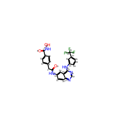 O=C(Cc1ccc(C(=O)NO)cc1)Nc1ccc2ncnc(Nc3cccc(C(F)(F)F)c3)c2c1